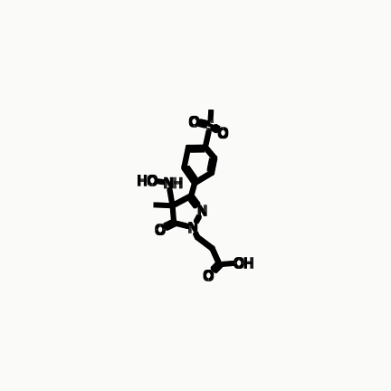 CC1(NO)C(=O)N(CCC(=O)O)N=C1c1ccc(S(C)(=O)=O)cc1